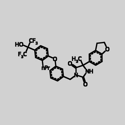 CCCc1cc(C(O)(C(F)(F)F)C(F)(F)F)ccc1Oc1cccc(CN2C(=O)NC(C)(c3ccc4c(c3)CCO4)C2=O)c1